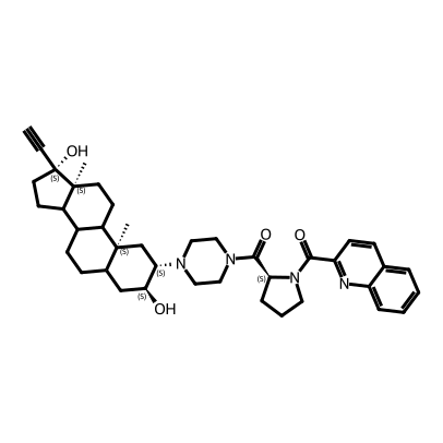 C#C[C@]1(O)CCC2C3CCC4C[C@H](O)[C@@H](N5CCN(C(=O)[C@@H]6CCCN6C(=O)c6ccc7ccccc7n6)CC5)C[C@]4(C)C3CC[C@@]21C